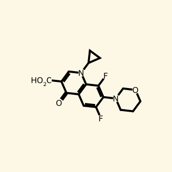 O=C(O)c1cn(C2CC2)c2c(F)c(N3CCCOC3)c(F)cc2c1=O